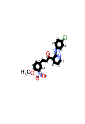 COc1ccc(/C=C/C(=O)c2cccnc2Nc2ccc(Cl)cc2)cc1[N+](=O)[O-]